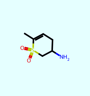 CC1=CCC(N)CS1(=O)=O